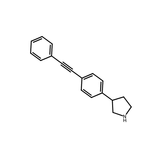 C(#Cc1ccc(C2CCNC2)cc1)c1ccccc1